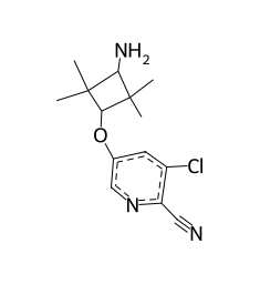 CC1(C)C(N)C(C)(C)C1Oc1cnc(C#N)c(Cl)c1